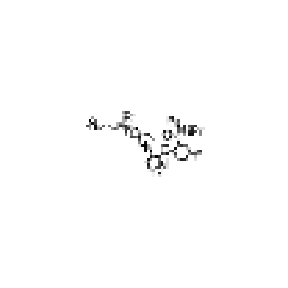 CC(C)[C@@H](CCCN(C)C)N1CC2(CCN(c3ccnnc3Oc3ccc(F)cc3C(=O)N(C(C)C)C(C)C)C2)C1